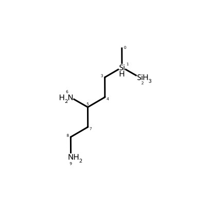 C[SiH]([SiH3])CCC(N)CCN